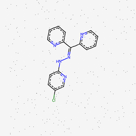 Clc1ccc(NN=C(c2ccccn2)c2ccccn2)nc1